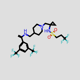 C=C(NCC1CCN(CC2(NS(=O)(=O)CCC(F)(F)F)CC2)CC1)c1cc(C(F)(F)F)cc(C(F)(F)F)c1